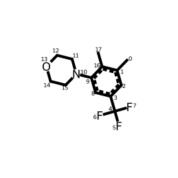 Cc1cc(C(F)(F)F)cc(N2CCOCC2)c1C